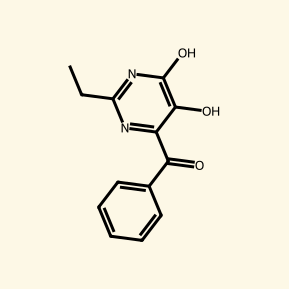 CCc1nc(O)c(O)c(C(=O)c2ccccc2)n1